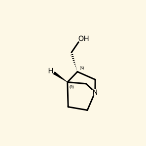 OC[C@@H]1CN2CC[C@H]1C2